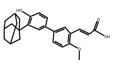 COc1ccc(-c2ccc(O)c(C34CC5CC(CC(C5)C3)C4)c2)cc1/C=C/C(=O)O